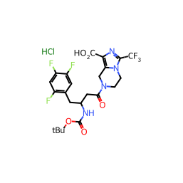 CC(C)(C)OC(=O)NC(CC(=O)N1CCn2c(C(F)(F)F)nc(C(=O)O)c2C1)Cc1cc(F)c(F)cc1F.Cl